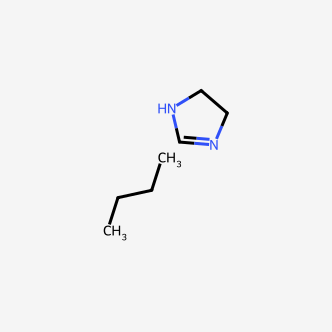 C1=NCCN1.CCCC